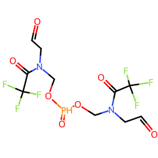 O=CCN(CO[PH](=O)OCN(CC=O)C(=O)C(F)(F)F)C(=O)C(F)(F)F